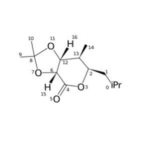 CC(C)C[C@H]1OC(=O)[C@@H]2OC(C)(C)O[C@@H]2[C@H]1C